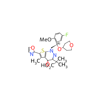 COc1ccc(F)cc1[C@H](Cn1nc(C(C)(C)C(=O)O)c(=O)c2c(C)c(-c3ncco3)sc21)OC1CCOCC1